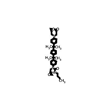 CCCCNC(=O)N(CC1CO1)c1ccc(C(C)(C)c2ccc(C(C)(C)c3ccc(N(CC4CO4)CC4CO4)cc3)cc2)cc1